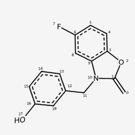 C=C1Oc2ccc(F)cc2N1Cc1cccc(O)c1